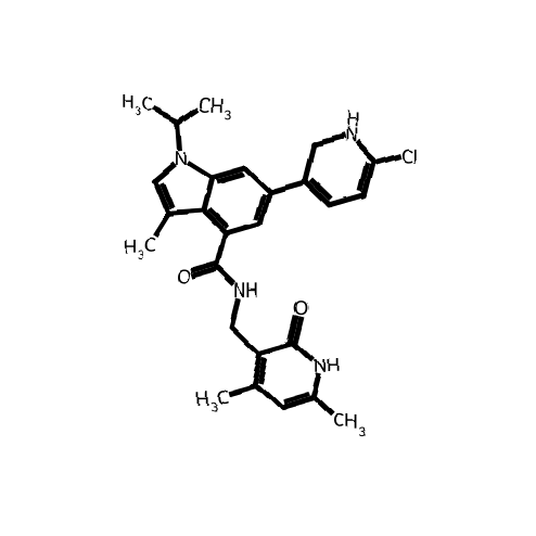 Cc1cc(C)c(CNC(=O)c2cc(C3=CC=C(Cl)NC3)cc3c2c(C)cn3C(C)C)c(=O)[nH]1